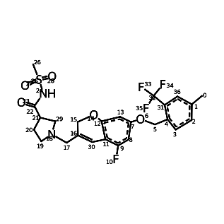 Cc1ccc(COc2cc(F)c3c(c2)OCC(CN2CCC(C(=O)NS(C)(=O)=O)C2)=C3)c(C(F)(F)F)c1